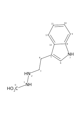 O=C(O)NNCCc1c[nH]c2ccccc12